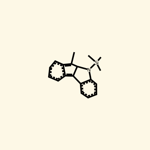 CC1=c2ccccc2=C2c3ccccc3N([Si](C)(C)C)C12